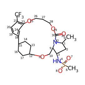 CC1CC(NS(C)(=O)=O)C2COC3CCC(CC3)c3ccc(C(F)(F)F)c(c3)OCCCOC(=O)N12